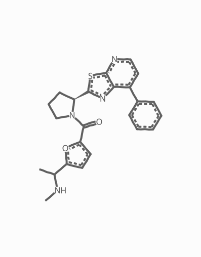 CNC(C)c1ccc(C(=O)N2CCC[C@H]2c2nc3c(-c4ccccc4)ccnc3s2)o1